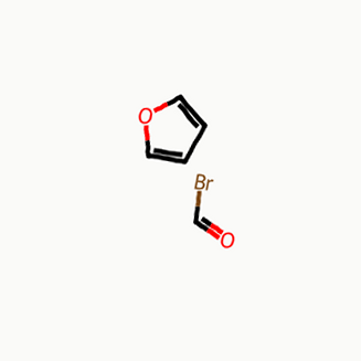 O=CBr.c1ccoc1